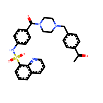 CC(=O)c1ccc(CN2CCN(C(=O)c3ccc(NS(=O)(=O)c4cccc5cccnc45)cc3)CC2)cc1